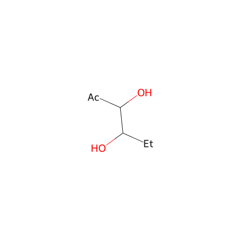 CCC(O)C(O)C(C)=O